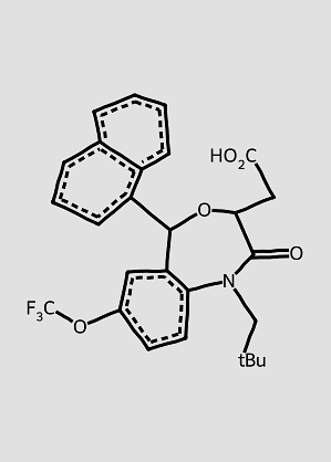 CC(C)(C)CN1C(=O)C(CC(=O)O)OC(c2cccc3ccccc23)c2cc(OC(F)(F)F)ccc21